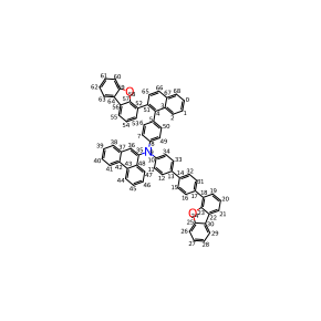 c1ccc2c(-c3ccc(N(c4ccc(-c5ccc(-c6cccc7c6oc6ccccc67)cc5)cc4)c4cc5ccccc5c5ccccc45)cc3)c(-c3cccc4c3oc3ccccc34)ccc2c1